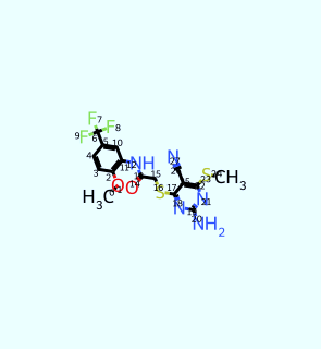 COc1ccc(C(F)(F)F)cc1NC(=O)CSc1nc(N)nc(SC)c1C#N